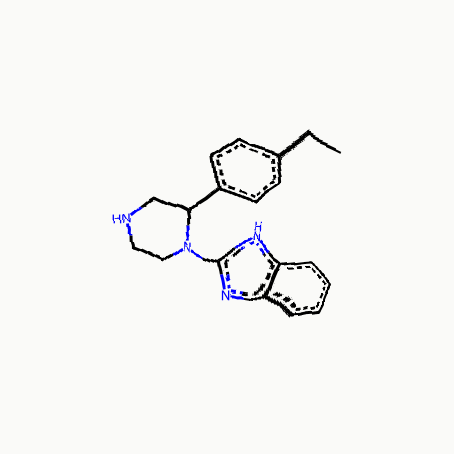 CCc1ccc(C2CNCCN2c2nc3ccccc3[nH]2)cc1